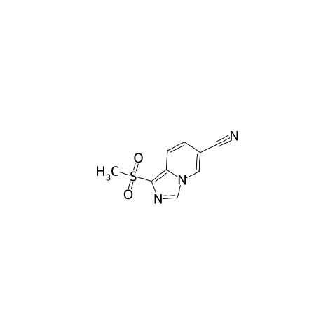 CS(=O)(=O)c1ncn2cc(C#N)ccc12